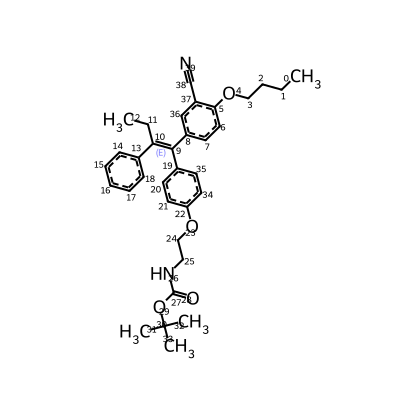 CCCCOc1ccc(/C(=C(\CC)c2ccccc2)c2ccc(OCCNC(=O)OC(C)(C)C)cc2)cc1C#N